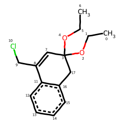 CCOC1(OCC)C=C(CCl)c2ccccc2C1